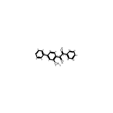 Cc1cc(-c2ccccc2)ccc1C(=O)C(=O)c1ccccc1